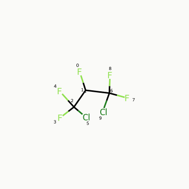 F[C](C(F)(F)Cl)C(F)(F)Cl